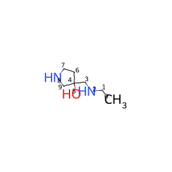 CCNCC1(O)CCNC1